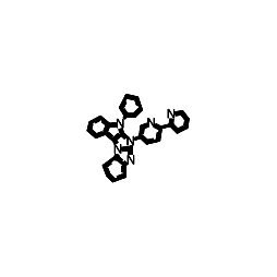 c1ccc(-n2c3ccccc3c3c2n(-c2ccc(-c4ccccn4)nc2)c2nc4ccccc4n32)cc1